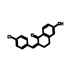 O=C1C(=Cc2ccc(Cl)cc2)CCc2cc(O)ccc21